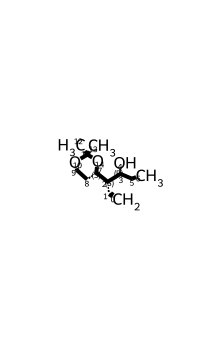 C=C[C@@H]([C@H](O)CC)[C@@H]1CCOC(C)(C)O1